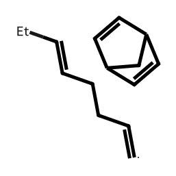 C1=CC2C=CC1C2.[CH]=CCCC=CCC